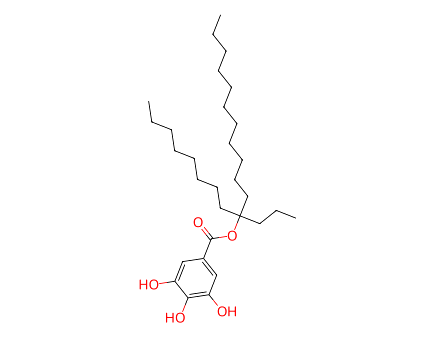 CCCCCCCCCCCC(CCC)(CCCCCCCC)OC(=O)c1cc(O)c(O)c(O)c1